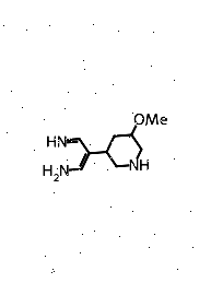 COC1CNCC(/C(C=N)=C/N)C1